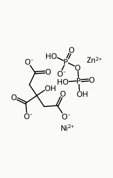 O=C([O-])CC(O)(CC(=O)[O-])C(=O)[O-].O=P([O-])(O)OP(=O)(O)O.[Ni+2].[Zn+2]